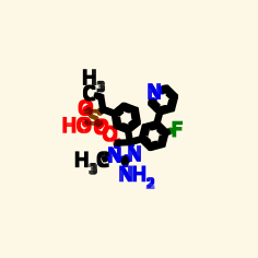 CCC(c1cccc(C2(c3ccc(F)c(-c4cccnc4)c3)N=C(N)N(C)C2=O)c1)S(=O)(=O)O